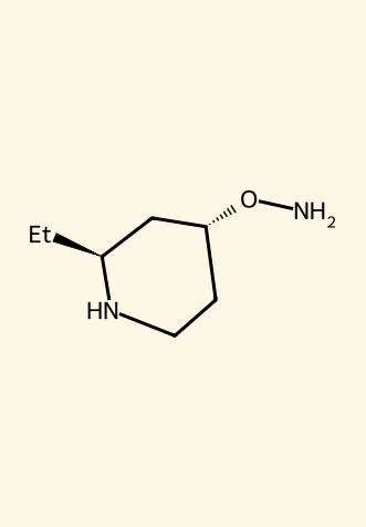 CC[C@H]1C[C@H](ON)CCN1